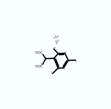 Cc1cc(C)c(C(C(=O)[O-])C(=O)[O-])c(C)c1.[Li+].[Li+]